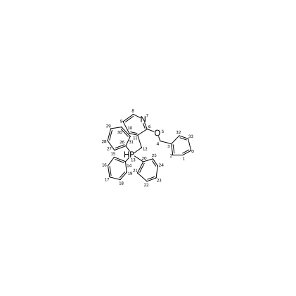 c1ccc(COc2ncccc2C[PH](c2ccccc2)(c2ccccc2)c2ccccc2)cc1